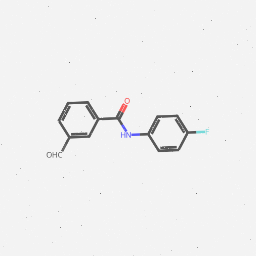 O=Cc1cccc(C(=O)Nc2ccc(F)cc2)c1